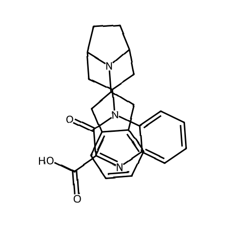 O=C(O)c1nc2ccccc2n(C2CC3CCC(C2)N3C2Cc3ccccc3C2)c1=O